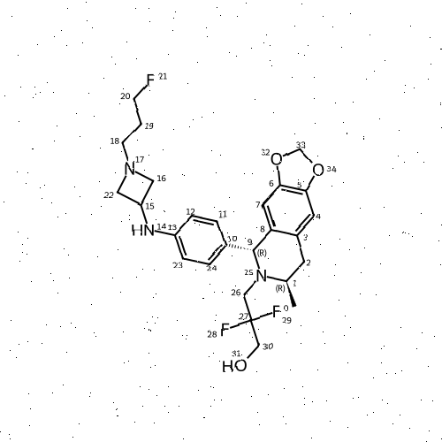 C[C@@H]1Cc2cc3c(cc2[C@@H](c2ccc(NC4CN(CCCF)C4)cc2)N1CC(F)(F)CO)OCO3